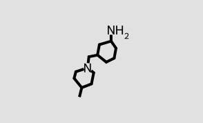 CC1CCN(CC2CCCC(N)C2)CC1